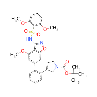 COc1cccc(OC)c1S(=O)(=O)Nc1noc2cc(-c3ccccc3C3=CCN(C(=O)OC(C)(C)C)C3)cc(OC)c12